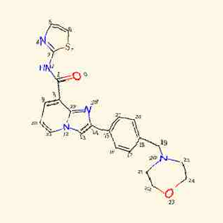 O=C(Nc1nccs1)c1cccn2cc(-c3ccc(CN4CCOCC4)cc3)nc12